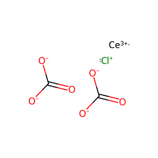 O=C([O-])[O-].O=C([O-])[O-].[Ce+3].[Cl+]